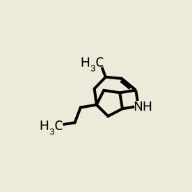 CCCC12CC(C)C=C3NC(C1)C3C2